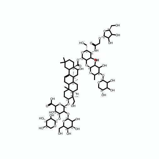 CC1O[C@@H](OC2C(O)[C@@H](NC(=O)CO[C@@H]3O[C@@H](CO)C(O)C3O)[C@@H](CO)O[C@H]2OC(=O)[C@]23CCC(C)(C)CC2C2=CCC4C5(C)CC[C@H](O[C@@H]6OC(C(=O)O)[C@@H](O)[C@H](O[C@@H]7OC[C@@H](O)[C@H](O)C7O)C6O[C@@H]6OC(CO)[C@H](O)[C@H](O)C6O)[C@](C)(CO)[C@@H]5CC[C@]4(C)[C@]2(C)CC3O)C(O)C(O)[C@H]1O[C@@H]1OC[C@@H](O)C(O)C1O